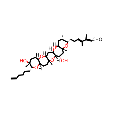 C=CCCCC[C@H]1O[C@H]2CC[C@@]3(C)O[C@H]4[C@@H](O)C[C@@]5(C)O[C@@H](CC/C=C(C)/C(C)=C/C=O)[C@@H](C)C[C@@H]5O[C@@H]4C[C@@H]3O[C@@H]2CC[C@@]1(C)O